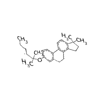 CCC[CH]C(C)(C)Oc1ccc2c(c1)CCc1c-2ccc2c1CCC2(C)C